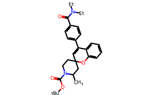 CCN(CC)C(=O)c1ccc(C2=CC3(CCN(C(=O)OC(C)(C)C)C(C)C3)Oc3ccccc32)cc1